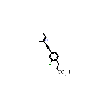 C/C=C(\C)C#Cc1ccc(CCC(=O)O)c(F)c1